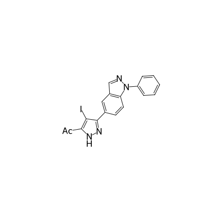 CC(=O)c1[nH]nc(-c2ccc3c(cnn3-c3ccccc3)c2)c1I